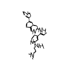 C/C=C(\Nc1cc2cc(C3=CN=CC3)ccc2cn1)c1ccnc(NCCN(C)C)c1